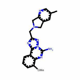 COc1cccc2c1nc(N)n1nc(CN3Cc4cc(C)cnc4C3)nc21